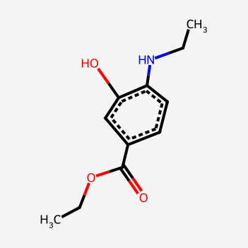 CCNc1ccc(C(=O)OCC)cc1O